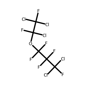 FC(Cl)(Cl)C(F)(Cl)OC(F)(F)C(F)(F)C(F)(Cl)Cl